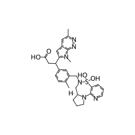 Cc1cc2cc(C(CC(=O)O)c3ccc(C)c(CN4C[C@@H]5CCCN5c5ncccc5S4(O)O)c3)n(C)c2nn1